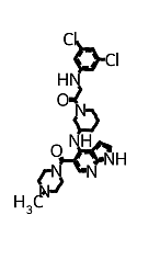 CN1CCN(C(=O)c2cnc3[nH]ccc3c2NC2CCCN(C(=O)CNc3cc(Cl)cc(Cl)c3)C2)CC1